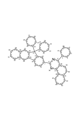 c1ccc(-c2nc(-c3ccc4c(c3)C(c3ccccc3)(c3ccccc3)c3cc5ccccc5cc3-4)nc3c2ccc2ccccc23)cc1